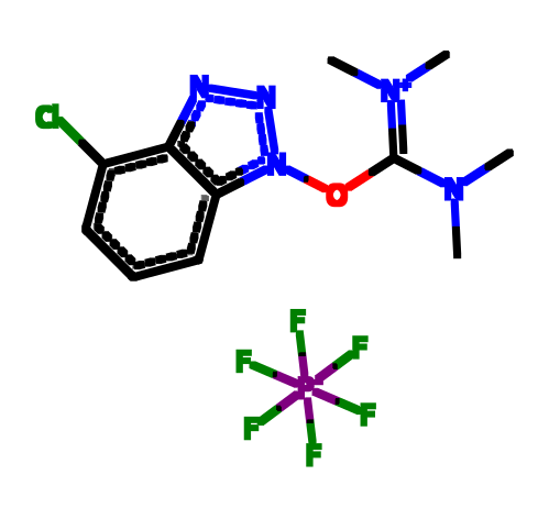 CN(C)C(On1nnc2c(Cl)cccc21)=[N+](C)C.F[P-](F)(F)(F)(F)F